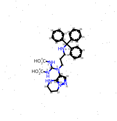 O=C(O)NC(NC(=O)O)N(CCCNC(c1ccccc1)(c1ccccc1)c1ccccc1)c1cnn2c1NCCC2